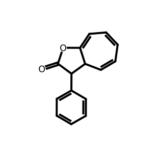 O=C1OC2=CC=CC=CC2C1c1ccccc1